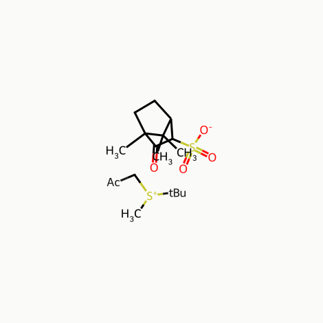 CC(=O)C[S+](C)C(C)(C)C.CC12CCC(C(S(=O)(=O)[O-])C1=O)C2(C)C